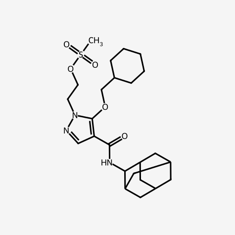 CS(=O)(=O)OCCn1ncc(C(=O)NC2C3CC4CC(C3)CC2C4)c1OCC1CCCCC1